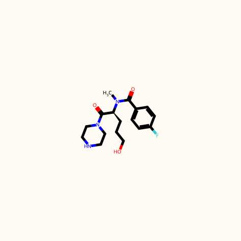 CN(C(=O)c1ccc(F)cc1)[C@@H](CCCO)C(=O)N1CCNCC1